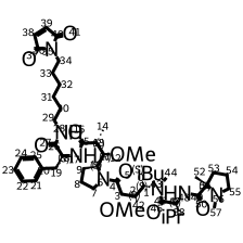 CC[C@H](C)[C@@H]([C@@H](CC(=O)N1CCC[C@H]1[C@H](OC)[C@@H](C)C(=O)N[C@@H](Cc1ccccc1)C(=O)NCCCCCCN1C(=O)C=CC1=O)OC)N(C)C(=O)[C@@H](NC(=O)[C@]1(C)CCCN1C)C(C)C